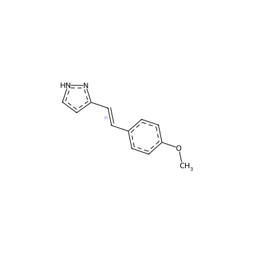 COc1ccc(/C=C/c2cc[nH]n2)cc1